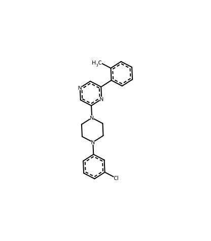 Cc1ccccc1-c1cncc(N2CCN(c3cccc(Cl)c3)CC2)n1